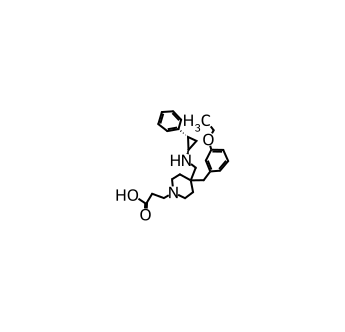 CCOc1cccc(CC2(CN[C@@H]3C[C@H]3c3ccccc3)CCN(CCC(=O)O)CC2)c1